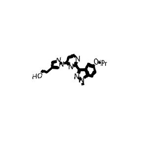 CC(C)Oc1ccc2c(c1)c(-c1nccc(-n3cc(CCO)cn3)n1)nn2C